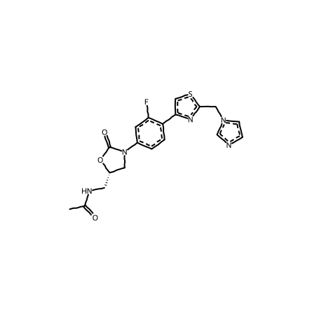 CC(=O)NC[C@H]1CN(c2ccc(-c3csc(Cn4ccnc4)n3)c(F)c2)C(=O)O1